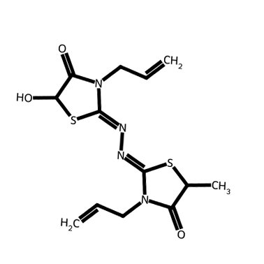 C=CCN1C(=O)C(C)SC1=NN=C1SC(O)C(=O)N1CC=C